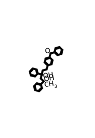 CC(O)(CC(O)(CCc1ccc(C(=O)c2ccccc2)cc1)c1ccccc1)c1ccccc1